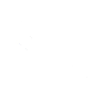 COC(=O)c1ccc(CSc2nnc(C[S])n2-c2ccccc2)cc1